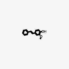 COc1cc(C=[C]c2ccccc2)ccc1O